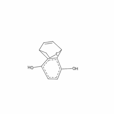 Oc1ccc(O)c2c1C1C=CC2CCC1